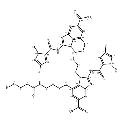 CCOCCC(=O)NCCCOc1cc(C(N)=O)cc2nc(NC(=O)c3cc(C)nn3CC)n(CCC[C@H]3COc4cc(C(N)=O)cc5nc(NC(=O)c6cc(C)nn6CC)n3c45)c12